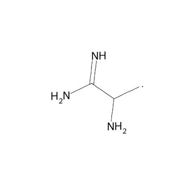 [CH2]C(N)C(=N)N